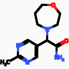 Cc1ncc(C(C(N)=O)N2CCCOCC2)cn1